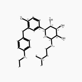 CCOc1ccc(Cc2cc([C@@H]3OC(OCCN(C)C)C(O)[C@H](O)[C@H]3O)ccc2Cl)cc1